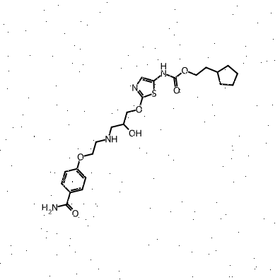 NC(=O)c1ccc(OCCNCC(O)COc2ncc(NC(=O)OCCC3CCCC3)s2)cc1